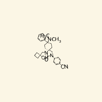 CN(C)[C@]1(c2ccccc2)CC[C@]2(CC1)CN(c1ccc(C#N)cc1)C(=O)N2CC1(O)CCC1